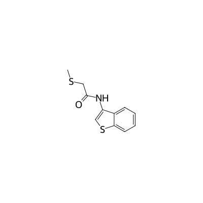 CSCC(=O)Nc1csc2ccccc12